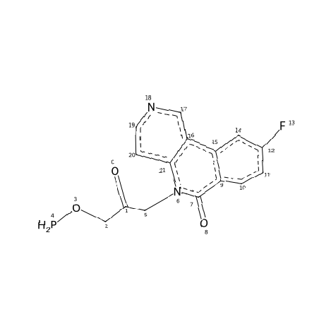 O=C(COP)Cn1c(=O)c2ccc(F)cc2c2cnccc21